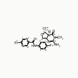 CCc1cnc(C(=O)Nc2ccc(F)c([C@]34CO[C@H](C(F)(F)F)[C@H]3C(=O)N(C)C(N)=N4)c2)cn1